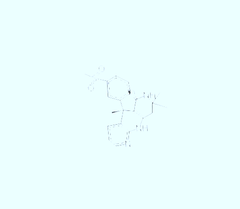 CC1(C)CC2=C(C(=O)N1)[C@@](C)(c1cccc(S(C)(=O)=O)c1)c1cccnc1N2